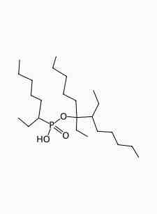 CCCCCC(CC)C(CC)(CCCCC)OP(=O)(O)C(CC)CCCCC